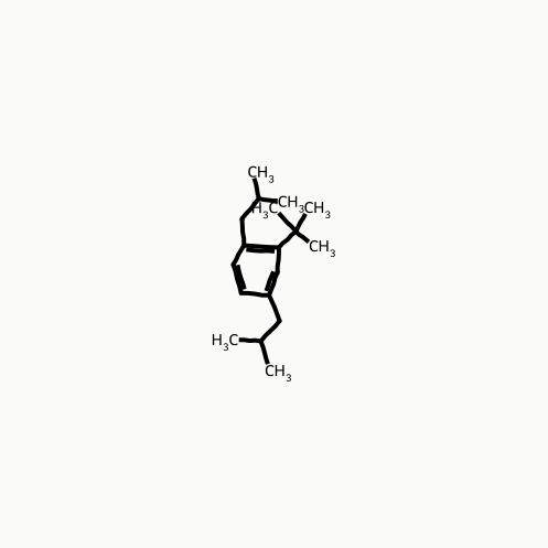 CC(C)Cc1ccc(CC(C)C)c(C(C)(C)C)c1